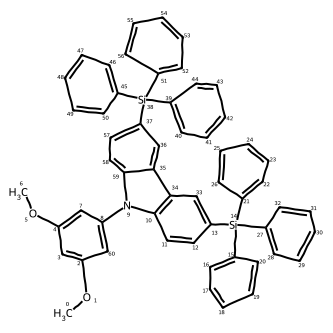 COc1cc(OC)cc(-n2c3ccc([Si](c4ccccc4)(c4ccccc4)c4ccccc4)cc3c3cc([Si](c4ccccc4)(c4ccccc4)c4ccccc4)ccc32)c1